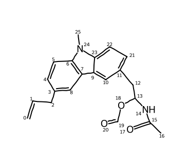 C=CCc1ccc2c(c1)c1cc(CC(NC(C)=O)OC=O)ccc1n2C